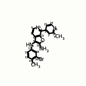 Cc1cc(-c2nccc3c(Nc4ccc(C)c(Br)c4)c(N)oc23)ccn1